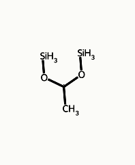 C[C](O[SiH3])O[SiH3]